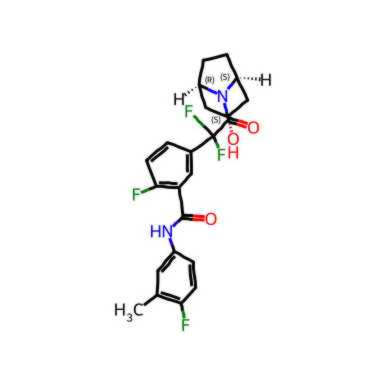 Cc1cc(NC(=O)c2cc(C(F)(F)C(=O)N3[C@@H]4CC[C@H]3C[C@H](O)C4)ccc2F)ccc1F